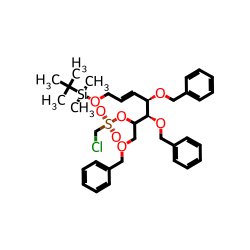 CC(C)(C)[Si](C)(C)OC/C=C/[C@@H](OCc1ccccc1)[C@@H](OCc1ccccc1)C(COCc1ccccc1)OS(=O)(=O)CCl